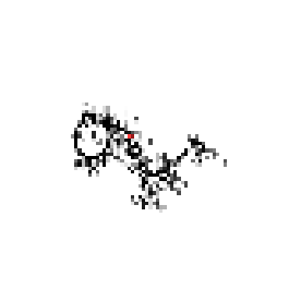 COc1cc2cc(c1Cl)N(C)C(=O)C[C@H](OC(=O)[C@H](C)N(C)C(=O)c1ccc(NC(=O)[C@H](CCCNC(N)=O)NC(=O)[C@@H](NC(=O)CCCCCN3C(=O)CC(C)C3=O)C(C)C)cc1)[C@]1(C)O[C@H]1[C@H](C)[C@@H]1C[C@](O)(C/C=C/C=C(\C)C2)NC(=O)O1